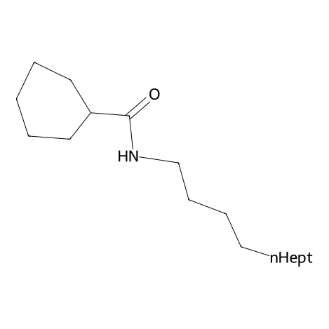 CCCCCCCCCCCNC(=O)C1CCCCC1